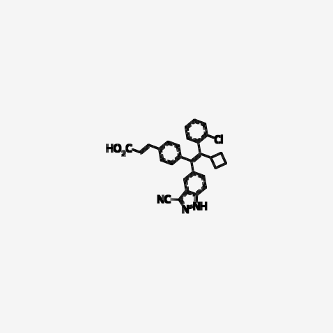 N#Cc1n[nH]c2ccc(C(=C(c3ccccc3Cl)C3CCC3)c3ccc(C=CC(=O)O)cc3)cc12